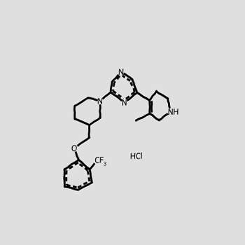 CC1=C(c2cncc(N3CCCC(COc4ccccc4C(F)(F)F)C3)n2)CCNC1.Cl